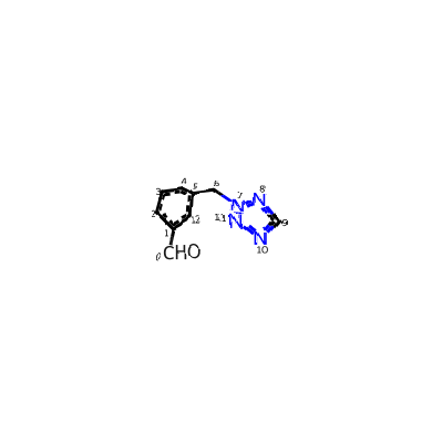 O=Cc1cccc(Cn2ncnn2)c1